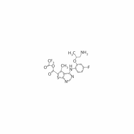 Cc1c(C(=O)OC(=O)C(F)(F)F)sc2ncnc(Nc3ccc(F)cc3OC(C)CN)c12